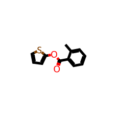 Cc1ccccc1C(=O)Oc1cccs1